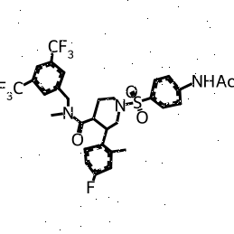 CC(=O)Nc1ccc(S(=O)(=O)N2CCC(C(=O)N(C)Cc3cc(C(F)(F)F)cc(C(F)(F)F)c3)C(c3ccc(F)cc3C)C2)cc1